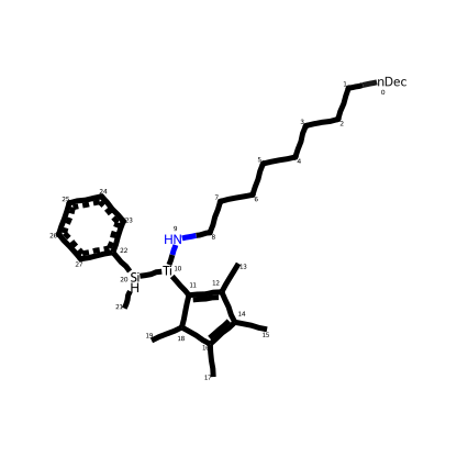 CCCCCCCCCCCCCCCCCC[NH][Ti]([C]1=C(C)C(C)=C(C)C1C)[SiH](C)c1ccccc1